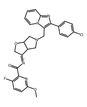 COc1ccc(F)c(C(=O)/N=C2\COC3CN(Cc4c(-c5ccc(Cl)cc5)nc5ccccn45)CC23)n1